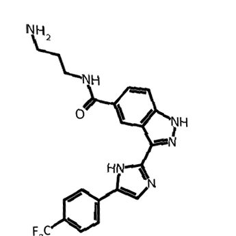 NCCCNC(=O)c1ccc2[nH]nc(-c3ncc(-c4ccc(C(F)(F)F)cc4)[nH]3)c2c1